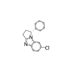 Clc1ccc2nc3n(c2c1)[C@@H](c1ccccc1)CC3